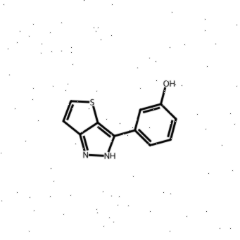 Oc1cccc(-c2[nH]nc3ccsc23)c1